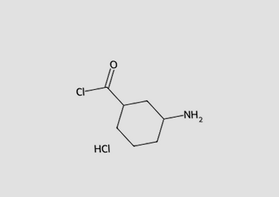 Cl.NC1CCCC(C(=O)Cl)C1